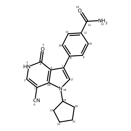 N#Cc1c[nH]c(=O)c2c(-c3ccc(C(N)=O)cc3)cn(C3CCCC3)c12